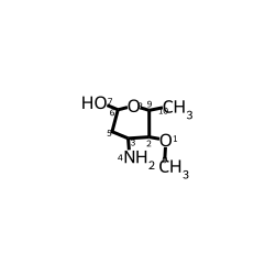 COC1C(N)CC(O)OC1C